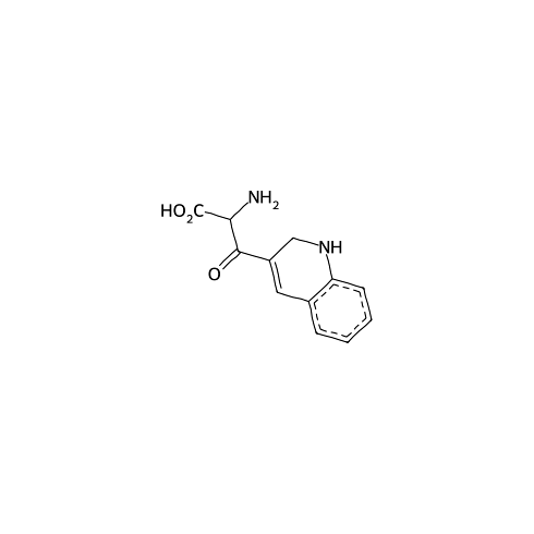 NC(C(=O)O)C(=O)C1=Cc2ccccc2NC1